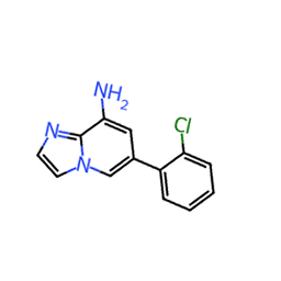 Nc1cc(-c2ccccc2Cl)cn2ccnc12